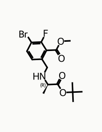 COC(=O)c1c(CN[C@H](C)C(=O)OC(C)(C)C)ccc(Br)c1F